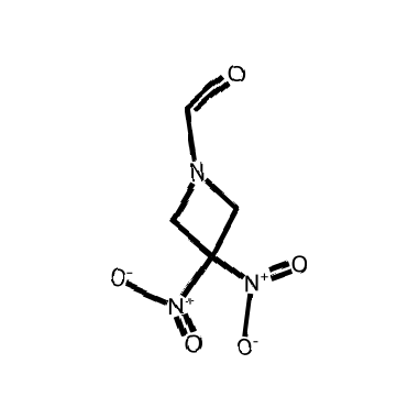 O=CN1CC([N+](=O)[O-])([N+](=O)[O-])C1